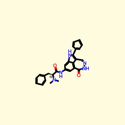 CN(C)[C@@H](Cc1ccccc1)C(=O)Nc1cc2c3c(c(-c4ccccc4)[nH]c3c1)C=NNC2=O